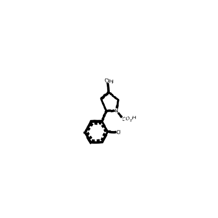 O=C(O)N1CC(O)CC1c1ccccc1Cl